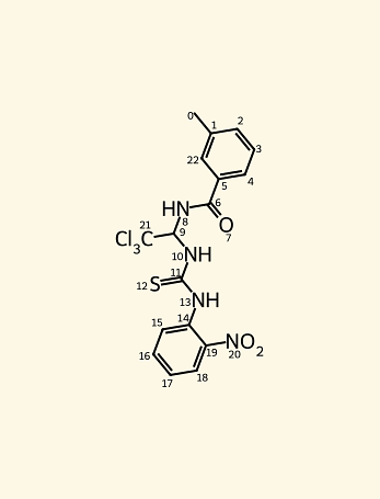 Cc1cccc(C(=O)NC(NC(=S)Nc2ccccc2[N+](=O)[O-])C(Cl)(Cl)Cl)c1